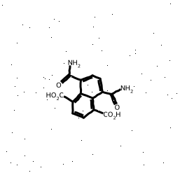 NC(=O)c1ccc(C(N)=O)c2c(C(=O)O)ccc(C(=O)O)c12